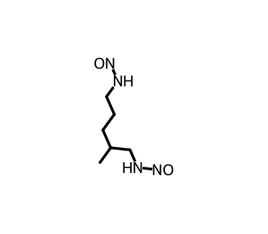 CC(CCCNN=O)CNN=O